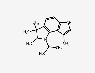 Cc1c[nH]c2ccc3c(c12)N(C(C)C)C(C)C3(C)C